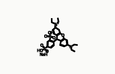 CCN(CC)c1ccc2c(c1)OC1=C(C=CC(=[N+](CC)CC)C1)C2c1ccc(S(=O)(=O)O)cc1S(=O)(=O)O.[NaH]